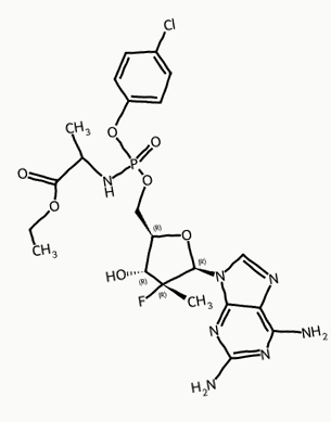 CCOC(=O)C(C)NP(=O)(OC[C@H]1O[C@@H](n2cnc3c(N)nc(N)nc32)[C@](C)(F)[C@@H]1O)Oc1ccc(Cl)cc1